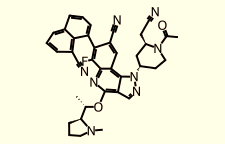 CC(=O)N1CC[C@H](n2ncc3c(O[C@@H](C)[C@@H]4CCCN4C)nc4c(F)c(-c5cccc6cccc(C#N)c56)c(C#N)cc4c32)C[C@H]1CC#N